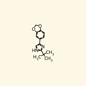 CC(C)(C)c1nc(-c2ccc3c(c2)OCO3)c[nH]1